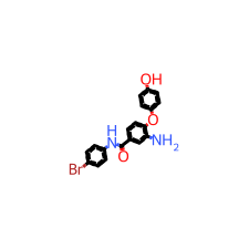 Nc1cc(C(=O)Nc2ccc(Br)cc2)ccc1Oc1ccc(O)cc1